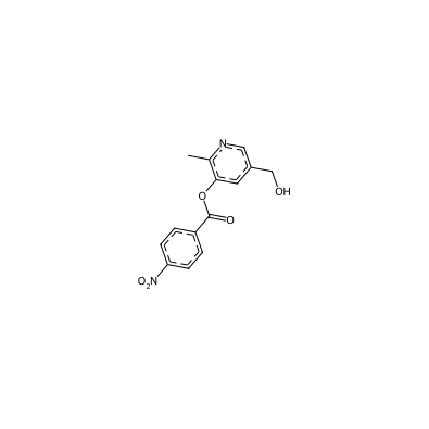 Cc1ncc(CO)cc1OC(=O)c1ccc([N+](=O)[O-])cc1